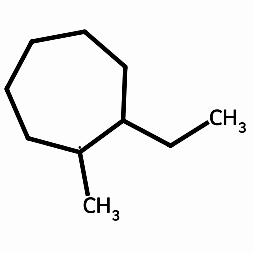 CCC1CCCCC[C]1C